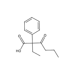 CCCC(=O)C(CC)(C(=O)O)c1ccccc1